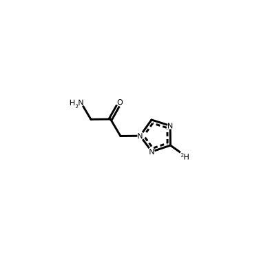 [2H]c1ncn(CC(=O)CN)n1